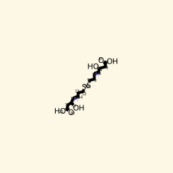 O=C(O)CC(O)/C=C/CCSSCC/C=C/C(O)CC(=O)O